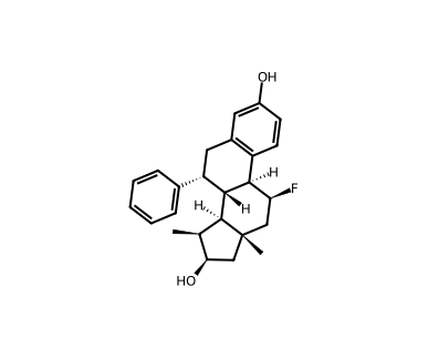 C[C@H]1[C@H]2[C@H]3[C@@H](c4ccc(O)cc4C[C@H]3c3ccccc3)[C@@H](F)C[C@]2(C)C[C@H]1O